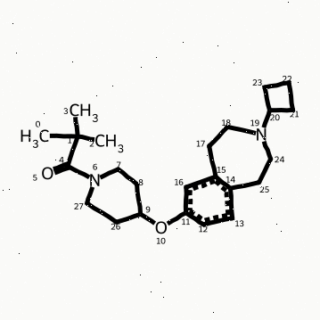 CC(C)(C)C(=O)N1CCC(Oc2ccc3c(c2)CCN(C2CCC2)CC3)CC1